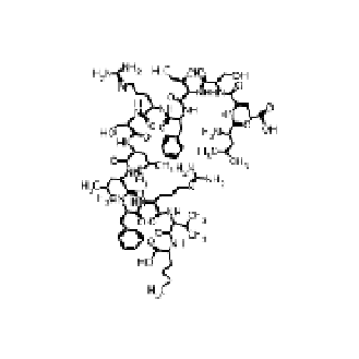 CCC(C)C(NC(=O)C(CO)NC(=O)C(CCC(=O)O)NC(=O)C(N)CC(C)C)C(=O)NC(Cc1ccccc1)C(=O)NC(CCCN=C(N)N)C(=O)NC(CO)C(=O)NC(CC(C)C)C(=O)NC(CC(C)C)C(=O)NC(Cc1ccccc1)C(=O)NC(CCCN=C(N)N)C(=O)NC(C(=O)NC(CCSC)C(=O)O)C(C)C